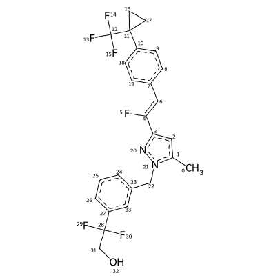 Cc1cc(C(F)=Cc2ccc(C3(C(F)(F)F)CC3)cc2)nn1Cc1cccc(C(F)(F)CO)c1